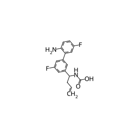 C=CCC(NC(=O)O)c1cc(F)cc(-c2cc(F)ccc2N)c1